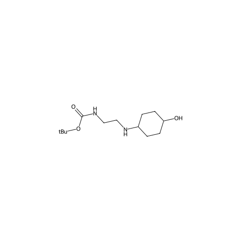 CC(C)(C)OC(=O)NCCNC1CCC(O)CC1